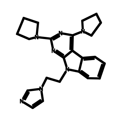 c1ccc2c(c1)c1c(N3CCCC3)nc(N3CCCC3)nc1n2CCn1ccnc1